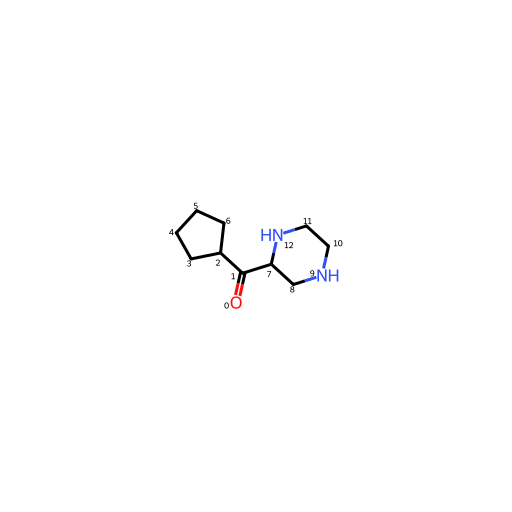 O=C(C1CCCC1)C1CNCCN1